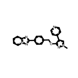 Cn1cc(-c2ccncc2)c(OCc2ccc(-c3nc4ccccn4n3)cc2)n1